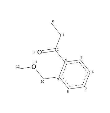 CCC(=O)c1ccccc1COC